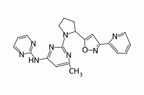 Cc1cc(Nc2ncccn2)nc(N2CCCC2c2cc(-c3ccccn3)no2)n1